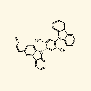 C=C/C=C\c1ccc2c(c1)c1ccccc1n2-c1cc(C#N)c(-n2c3ccccc3c3ccccc32)cc1C#N